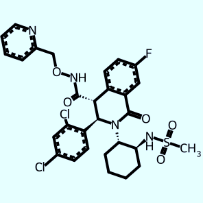 CS(=O)(=O)N[C@H]1CCCC[C@@H]1N1C(=O)c2cc(F)ccc2[C@@H](C(=O)NOCc2ccccn2)[C@@H]1c1ccc(Cl)cc1Cl